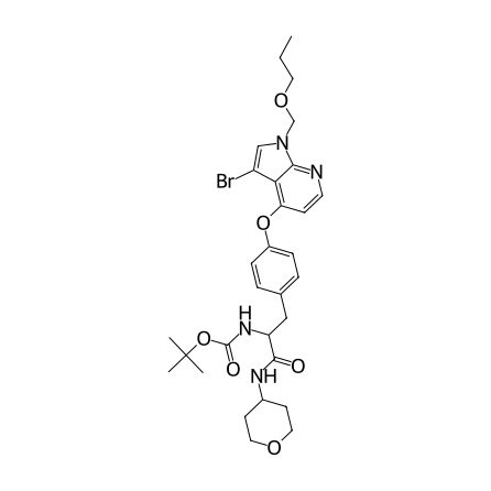 CCCOCn1cc(Br)c2c(Oc3ccc(CC(NC(=O)OC(C)(C)C)C(=O)NC4CCOCC4)cc3)ccnc21